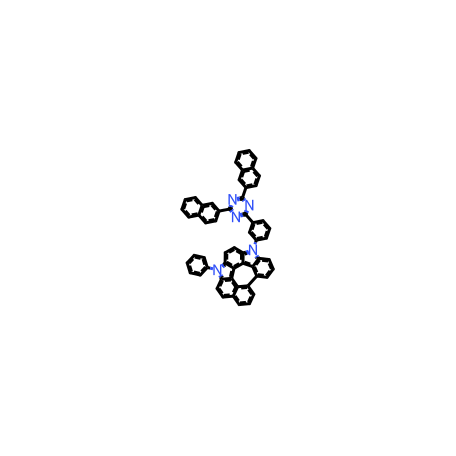 c1ccc(-n2c3ccc4cccc5c4c3c3c4c6c-5cccc6n(-c5cccc(-c6nc(-c7ccc8ccccc8c7)nc(-c7ccc8ccccc8c7)n6)c5)c4ccc32)cc1